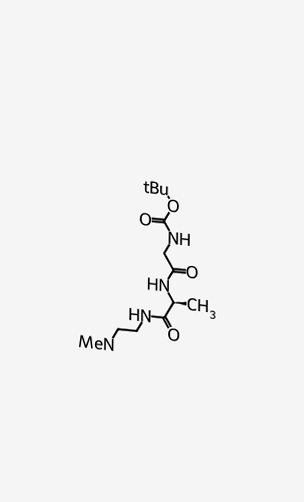 CNCCNC(=O)[C@H](C)NC(=O)CNC(=O)OC(C)(C)C